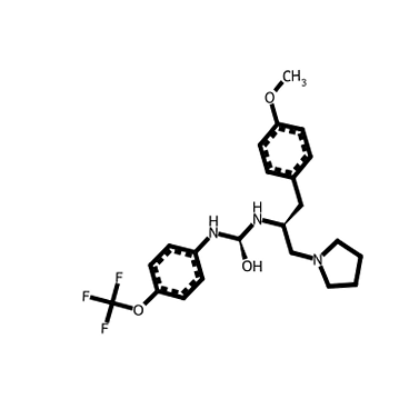 COc1ccc(C[C@@H](CN2CCCC2)N[C@@H](O)Nc2ccc(OC(F)(F)F)cc2)cc1